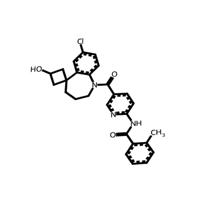 Cc1ccccc1C(=O)Nc1ccc(C(=O)N2CCCC3(CC(O)C3)c3cc(Cl)ccc32)cn1